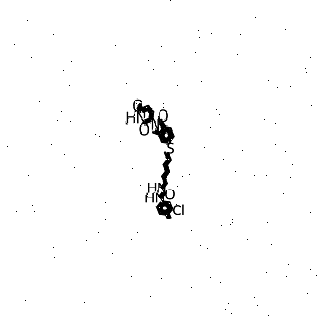 Cc1ccc(NC(=O)NCCCCCCSc2ccc3c(c2)CN(C2CCC(=O)NC2=O)C3=O)cc1Cl